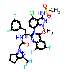 Cn1nc(NS(C)(=O)=O)c2c(Cl)ccc(-n3c([C@H](Cc4cc(F)cc(F)c4)NC(=O)Cn4nc(C(F)F)c5c4CCC5)nc4c(F)cc(F)cc4c3=O)c21